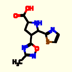 Cc1noc(C2CC(C(=O)O)NC2c2nccs2)n1